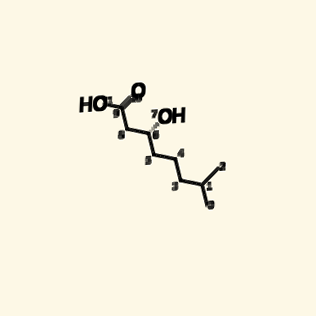 CC(C)CCC[C@@H](O)CC(=O)O